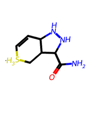 NC(=O)C1NNC2C=C[SH3]CC21